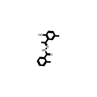 C/C(=N\NC(=O)c1ccccc1C)c1cc(C)ccc1O